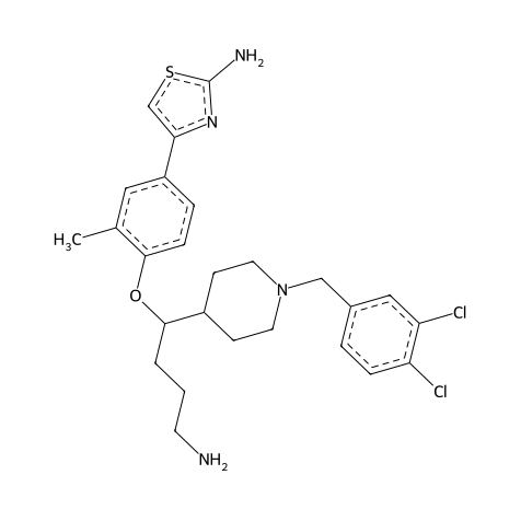 Cc1cc(-c2csc(N)n2)ccc1OC(CCCN)C1CCN(Cc2ccc(Cl)c(Cl)c2)CC1